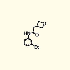 CCc1cccc(NC(=O)CC2COC2)c1